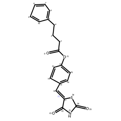 O=C(CCCc1ccccc1)Oc1ccc(/C=C2\SC(=O)NC2=O)cc1